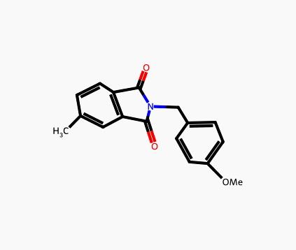 COc1ccc(CN2C(=O)c3ccc(C)cc3C2=O)cc1